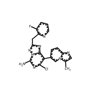 Cc1cnc2ccc(-c3c(Cl)nc(N)n4nc(Cc5ncccc5F)nc34)cn12